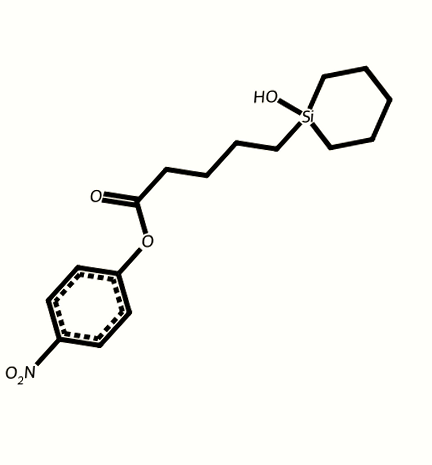 O=C(CCCC[Si]1(O)CCCCC1)Oc1ccc([N+](=O)[O-])cc1